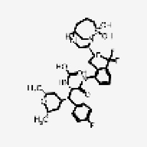 C[C@@H]1CC([C@H](c2ccc(F)cc2)[C@H](NC(=O)O)C(=O)Nc2cccc(C(F)(F)F)c2CC[C@H]2CN[C@@H]3CCCS(O)(O)N2C3)C[C@H](C)O1